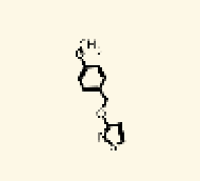 COc1ccc(COc2ccsn2)cc1